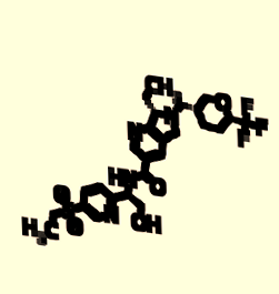 CC[C@H]1c2ncc(C(=O)N[C@@H](CO)c3ccc(S(=O)(=O)CC)cn3)cc2CN1C[C@H]1CC[C@H](C(F)(F)F)OC1